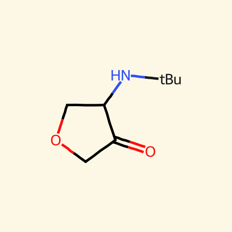 CC(C)(C)NC1COCC1=O